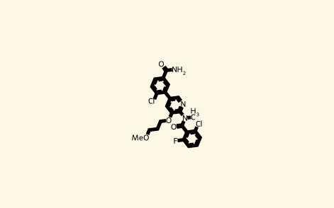 COCCCOc1cc(-c2cc(C(N)=O)ccc2Cl)cnc1N(C)C(=O)c1c(F)cccc1Cl